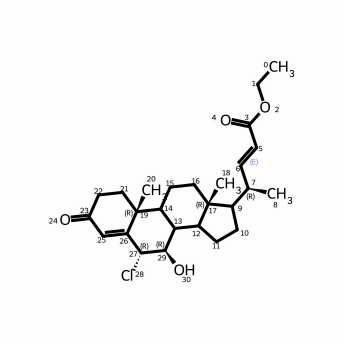 CCOC(=O)/C=C/[C@@H](C)C1CCC2C3C(CC[C@@]21C)[C@@]1(C)CCC(=O)C=C1[C@@H](Cl)[C@@H]3O